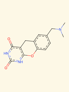 CN(C)Cc1ccc2c(c1)Cc1c([nH]c(=O)[nH]c1=O)O2